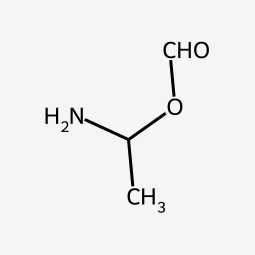 CC(N)OC=O